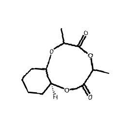 CC1OC(=O)C(C)OC2CCCC[C@@H]2OC1=O